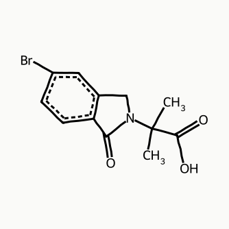 CC(C)(C(=O)O)N1Cc2cc(Br)ccc2C1=O